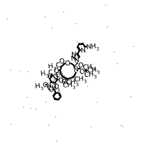 CO[C@]1(C)C[C@@H](C)CN(C(=O)OC(C)(C)C)[C@H](Cn2cc(-c3cccc(N)n3)nn2)COC(=O)C(C)C(=O)[C@H](C)[C@H]1O[C@@H]1O[C@H](C)C[C@H](N(C)C)[C@H]1OC(=O)c1ccccc1